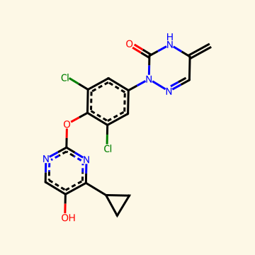 C=C1C=NN(c2cc(Cl)c(Oc3ncc(O)c(C4CC4)n3)c(Cl)c2)C(=O)N1